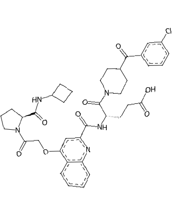 O=C(O)CC[C@H](NC(=O)c1cc(OCC(=O)N2CCC[C@H]2C(=O)NC2CCC2)c2ccccc2n1)C(=O)N1CCC(C(=O)c2cccc(Cl)c2)CC1